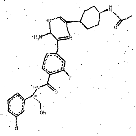 CC(=O)N[C@H]1CC[C@@H](C2=CNC(N)C(c3ccc(C(=O)N[C@H](CO)c4cccc(Cl)c4)c(F)c3)=N2)CC1